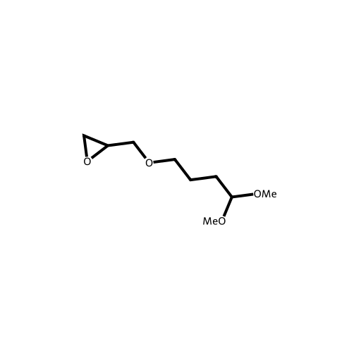 COC(CCCOCC1CO1)OC